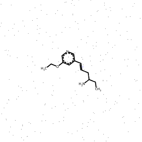 CCOc1cncc(/C=C/CC(N)CC)c1